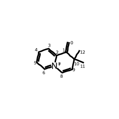 C=C1c2cccc[n+]2C=CC1(C)C